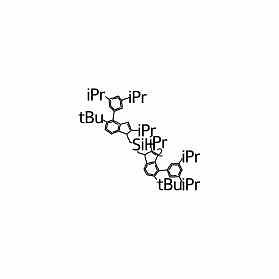 CC(C)C1=Cc2c(ccc(C(C)(C)C)c2-c2cc(C(C)C)cc(C(C)C)c2)C1C[SiH2]CC1C(C(C)C)=Cc2c1ccc(C(C)(C)C)c2-c1cc(C(C)C)cc(C(C)C)c1